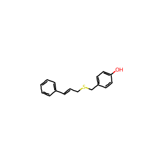 Oc1ccc(CSCC=Cc2ccccc2)cc1